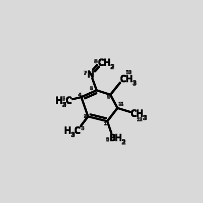 BC1=C(C)C(C)=C(N=C)C(C)C1C